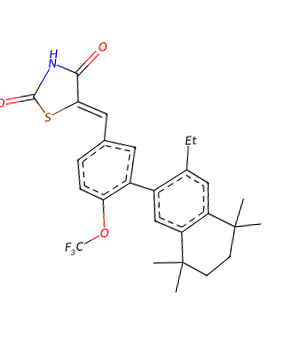 CCc1cc2c(cc1-c1cc(/C=C3\SC(=O)NC3=O)ccc1OC(F)(F)F)C(C)(C)CCC2(C)C